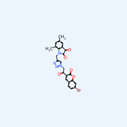 Cc1cc(C)c2c(c1)C(=O)C(=O)N2Cc1cn(CC(=O)c2cc3ccc(Br)cc3oc2=O)nn1